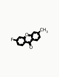 Cc1ccc2c(=O)c3ccc(F)cc3oc2c1